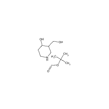 CC(C)(C)OC=O.OCC1CNCCC1O